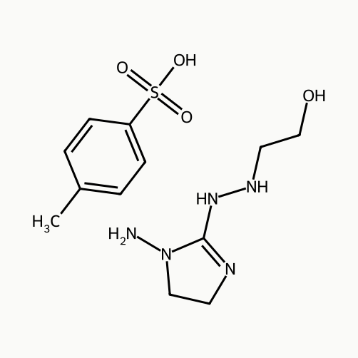 Cc1ccc(S(=O)(=O)O)cc1.NN1CCN=C1NNCCO